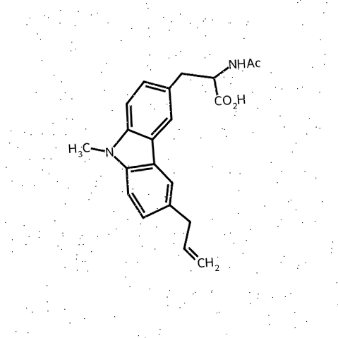 C=CCc1ccc2c(c1)c1cc(CC(NC(C)=O)C(=O)O)ccc1n2C